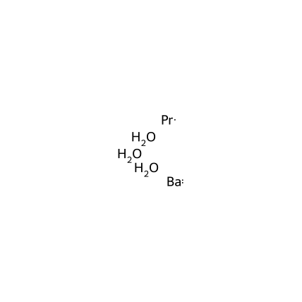 O.O.O.[Ba].[Pr]